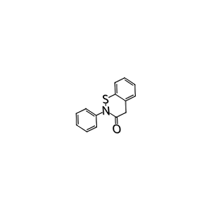 O=C1Cc2ccccc2SN1c1ccccc1